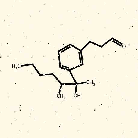 CCCC[C](C)C(C)(O)c1cccc(CCC=O)c1